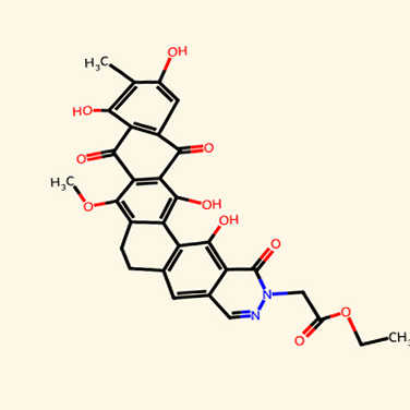 CCOC(=O)Cn1ncc2cc3c(c(O)c2c1=O)-c1c(O)c2c(c(OC)c1CC3)C(=O)c1c(cc(O)c(C)c1O)C2=O